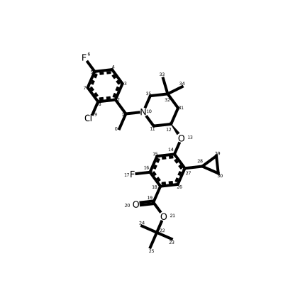 CC(c1ccc(F)cc1Cl)N1C[C@H](Oc2cc(F)c(C(=O)OC(C)(C)C)cc2C2CC2)CC(C)(C)C1